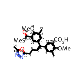 COc1c(C)cc(/C(=C/CCc2nnc(C)o2)c2cc(C)c(OC)c(C(=O)SC)c2)cc1C(=O)O